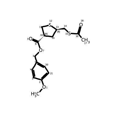 COc1ccc(COC(=O)[C@@H]2CS[C@@H](CSC(C)=O)C2)cc1